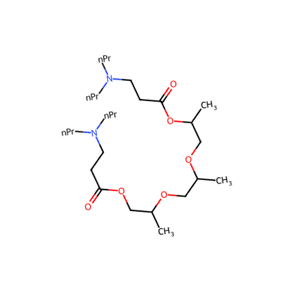 CCCN(CCC)CCC(=O)OCC(C)OCC(C)OCC(C)OC(=O)CCN(CCC)CCC